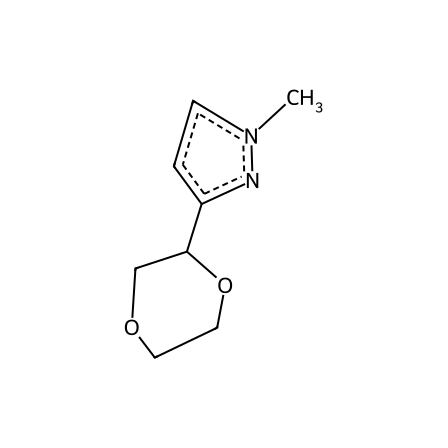 Cn1ccc(C2COCCO2)n1